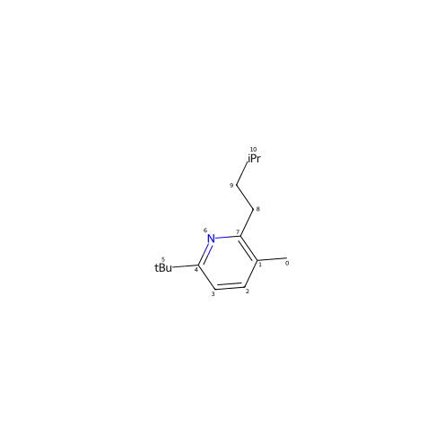 Cc1ccc(C(C)(C)C)nc1CCC(C)C